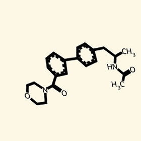 CC(=O)NC(C)Cc1ccc(-c2cccc(C(=O)N3CCOCC3)c2)cc1